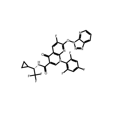 O=C(N[C@@H](C1CC1)C(F)(F)F)c1cn(-c2c(F)cc(F)cc2F)c2nc(On3nnc4cccnc43)c(F)cc2c1=O